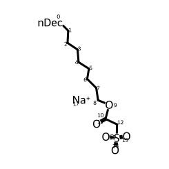 CCCCCCCCCCCCCCCCCCOC(=O)CS(=O)(=O)[O-].[Na+]